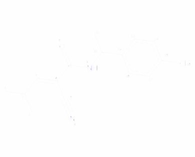 CC(C)/C=C(\C#N)C(=O)NC(C)c1ccc(Cl)cc1